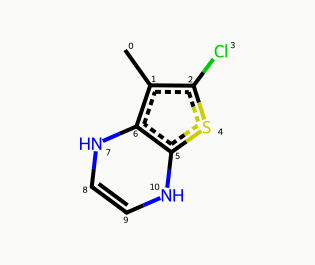 Cc1c(Cl)sc2c1NC=CN2